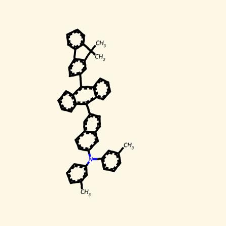 Cc1cccc(N(c2cccc(C)c2)c2ccc3cc(-c4c5ccccc5c(-c5ccc6c(c5)C(C)(C)c5ccccc5-6)c5ccccc45)ccc3c2)c1